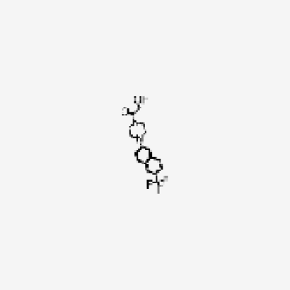 O=C(CO)N1CCN(c2ccc3cc(C(F)(F)F)ccc3c2)CC1